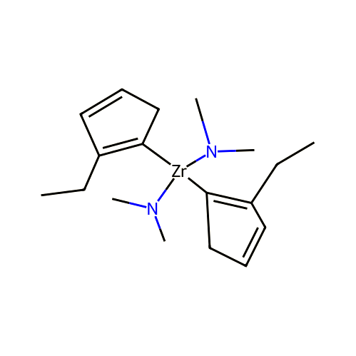 CCC1=[C]([Zr]([C]2=C(CC)C=CC2)([N](C)C)[N](C)C)CC=C1